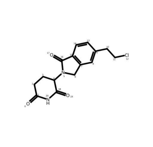 O=C1CCC(N2Cc3cc(CCCl)ccc3C2=O)C(=O)N1